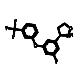 Fc1cc(Oc2cccc(C(F)(F)F)c2)cc([C@H]2CCON2)c1